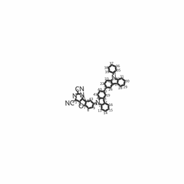 N#Cc1nc(C#N)c2oc3ccc(-n4c5ccccc5c5cc(-c6ccc7c(c6)c6ccccc6n7-c6ccccc6)ccc54)cc3c2n1